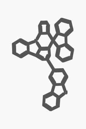 c1ccc2c(c1)-c1ccccc1C21c2ccccc2-n2c3ccccc3c3cc(-c4ccc5oc6ccccc6c5c4)cc1c32